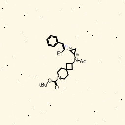 CC/C(=C\c1ccccc1)[C@@H]1C[C@H]1N(C(C)=O)C1CC2(CCN(C(=O)OC(C)(C)C)CC2)C1